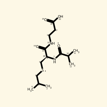 CC(C)CSC[C@H](NC(=O)C(C)C)C(=O)NCCC(=O)O